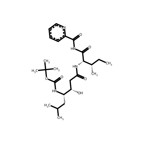 CC[C@H](C)[C@H](NC(=O)C[C@H](O)[C@H](CC(C)C)NC(=O)OC(C)(C)C)C(=O)NC(=O)c1ccccn1